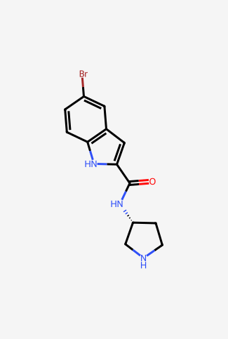 O=C(N[C@@H]1CCNC1)c1cc2cc(Br)ccc2[nH]1